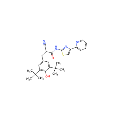 CC(C)(C)c1cc(CC(C#N)C(=O)Nc2nc(-c3ccccn3)cs2)cc(C(C)(C)C)c1O